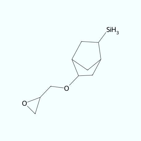 [SiH3]C1CC2CC1CC2OCC1CO1